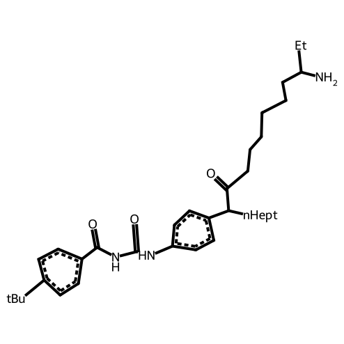 CCCCCCCC(C(=O)CCCCCCC(N)CC)c1ccc(NC(=O)NC(=O)c2ccc(C(C)(C)C)cc2)cc1